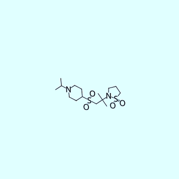 CC(C)N1CCC(S(=O)(=O)CC(C)(C)N2CCCS2(=O)=O)CC1